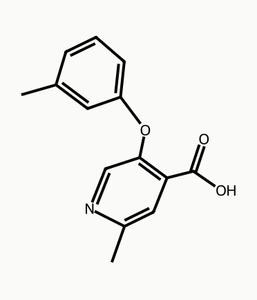 Cc1cccc(Oc2cnc(C)cc2C(=O)O)c1